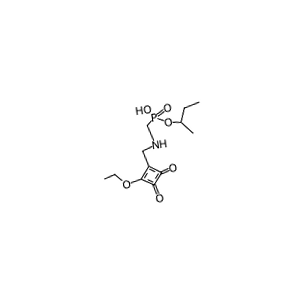 CCOc1c(CNCP(=O)(O)OC(C)CC)c(=O)c1=O